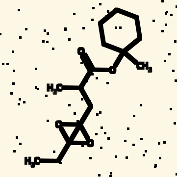 CCC12OC1(CC(C)C(=O)OC1(C)CCCCC1)O2